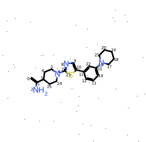 C=C(N)C1CCN(c2ncc(-c3cccc(N4CCCCC4)c3)s2)CC1